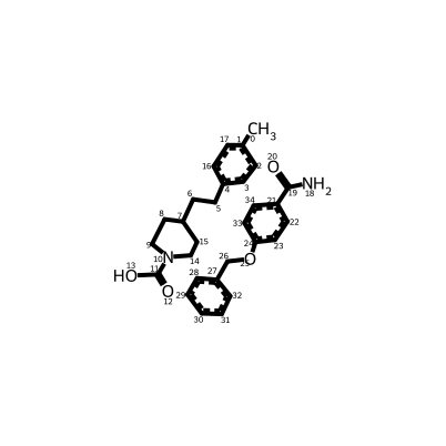 Cc1ccc(CCC2CCN(C(=O)O)CC2)cc1.NC(=O)c1ccc(OCc2ccccc2)cc1